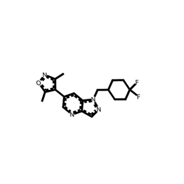 Cc1noc(C)c1-c1cnc2cnn(CC3CCC(F)(F)CC3)c2c1